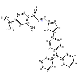 CN(C)c1ccc(C(=O)/C=C/c2ccc(-c3ccc(N(c4ccccc4)c4ccccc4)cc3)s2)c(O)c1